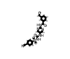 N#Cc1ccc(S(=O)(=O)NC(=O)Nc2cnc(NC(=O)c3cccc(C=O)c3)nc2)cc1